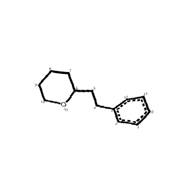 c1ccc(CCC2CCCCO2)cc1